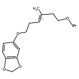 C/C(=C\CCOc1ccc2c(c1)OCO2)CCOC(C)C